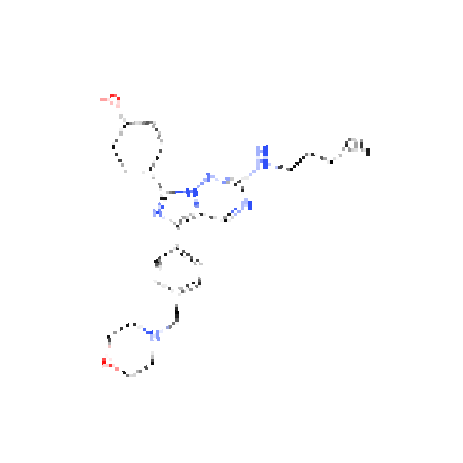 CCCCNc1ncc2c(-c3ccc(CN4CCOCC4)cc3)nc([C@H]3CC[C@@H](O)CC3)n2n1